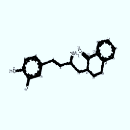 NC(CCc1ccc(O)c(I)c1)CC1CCc2ccccc2C1=O